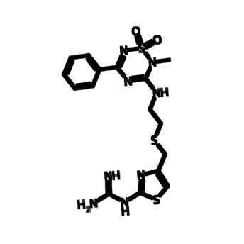 CN1C(NCCSCc2csc(NC(=N)N)n2)=NC(c2ccccc2)=NS1(=O)=O